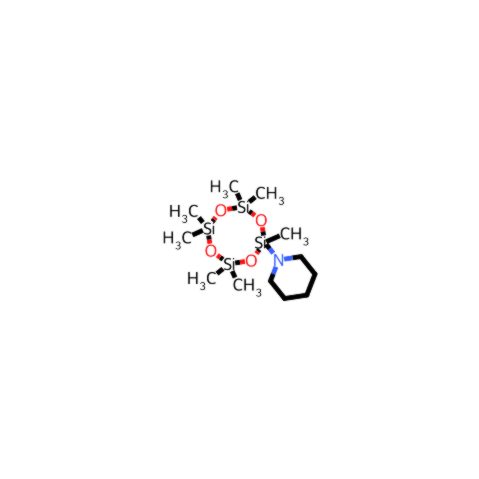 C[Si]1(C)O[Si](C)(C)O[Si](C)(N2CCCCC2)O[Si](C)(C)O1